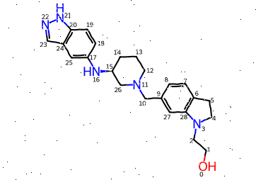 OCCN1CCc2ccc(CN3CCC[C@H](Nc4ccc5[nH]ncc5c4)C3)cc21